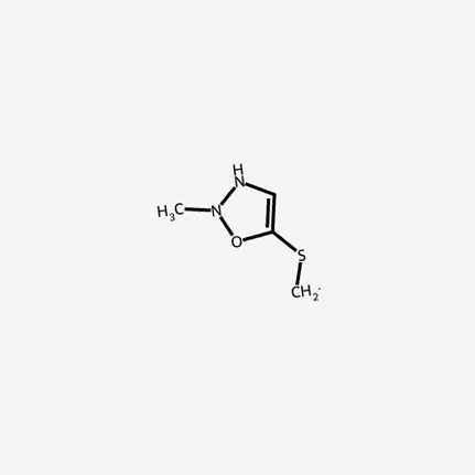 [CH2]SC1=CNN(C)O1